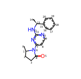 CC1CCC(=O)N1c1ccnc(N[C@@H](C)c2ccccc2)n1